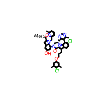 COC(=O)c1cc2cc(O)cc(N3C[C@@H](C)n4c(c(CCCOc5cc(C)c(Cl)c(C)c5)c5ccc(Cl)c(-c6c(C)ncnc6C)c54)C3=O)c2n1Cc1cccc(C)n1